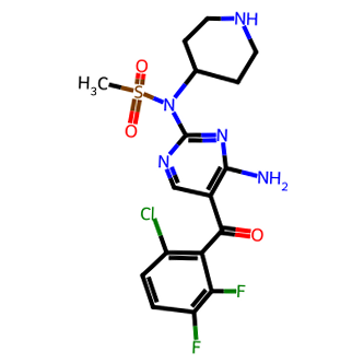 CS(=O)(=O)N(c1ncc(C(=O)c2c(Cl)ccc(F)c2F)c(N)n1)C1CCNCC1